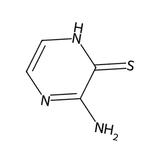 Nc1ncc[nH]c1=S